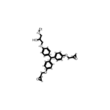 CCOCC(O)COc1ccc(C(c2ccc(OCC3CO3)cc2)c2ccc(OCC3CO3)cc2)cc1